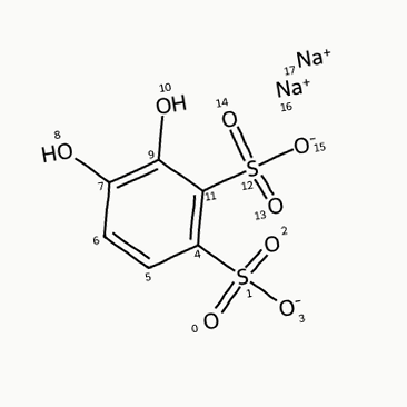 O=S(=O)([O-])c1ccc(O)c(O)c1S(=O)(=O)[O-].[Na+].[Na+]